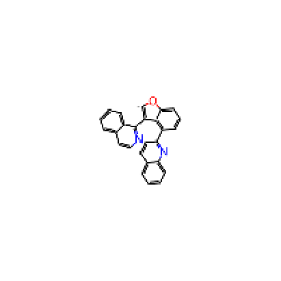 [c]1oc2cccc(-c3ccc4ccccc4n3)c2c1-c1nccc2ccccc12